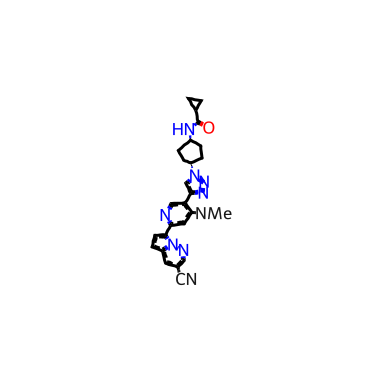 CNc1cc(-c2ccc3cc(C#N)cnn23)ncc1-c1cn([C@H]2CC[C@H](NC(=O)C3CC3)CC2)nn1